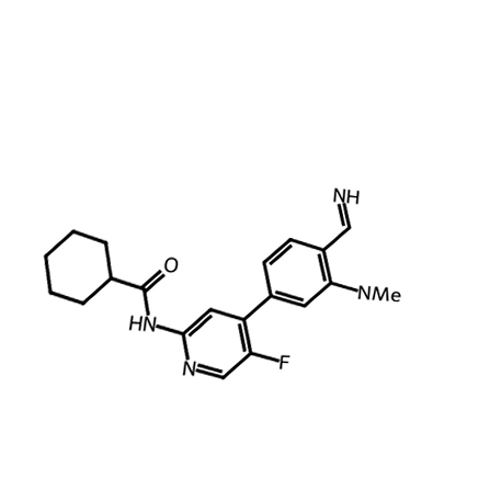 CNc1cc(-c2cc(NC(=O)C3CCCCC3)ncc2F)ccc1C=N